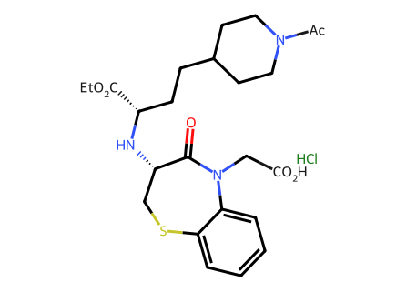 CCOC(=O)[C@H](CCC1CCN(C(C)=O)CC1)N[C@H]1CSc2ccccc2N(CC(=O)O)C1=O.Cl